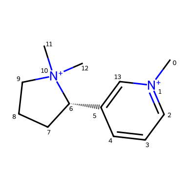 C[n+]1cccc([C@@H]2CCC[N+]2(C)C)c1